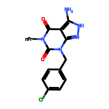 CCCn1c(=O)c2c(N)[nH]nc2n(Cc2ccc(Cl)cc2)c1=O